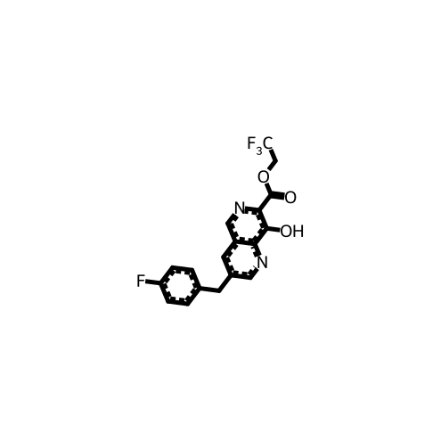 O=C(OCC(F)(F)F)c1ncc2cc(Cc3ccc(F)cc3)cnc2c1O